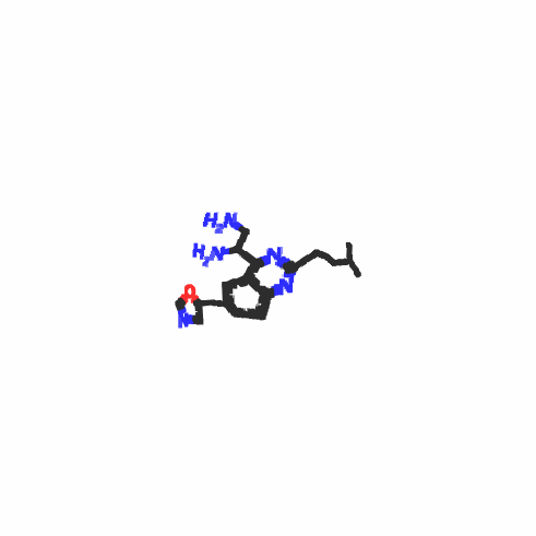 CC(C)CCc1nc(C(N)CN)c2cc(-c3cnco3)ccc2n1